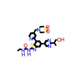 CCNC(=O)Nc1nc2cc(-c3cnc(C(C)CO)nc3)cc(-c3cc(CN4CCS(=O)(=O)CC4)ccn3)c2s1